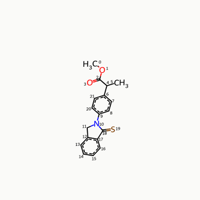 COC(=O)C(C)c1ccc(N2Cc3ccccc3C2=S)cc1